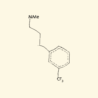 CNCC[CH]c1cccc(C(F)(F)F)c1